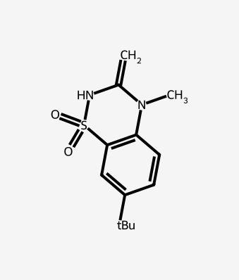 C=C1NS(=O)(=O)c2cc(C(C)(C)C)ccc2N1C